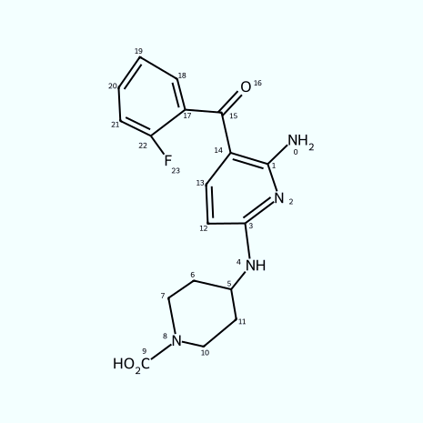 Nc1nc(NC2CCN(C(=O)O)CC2)ccc1C(=O)c1ccccc1F